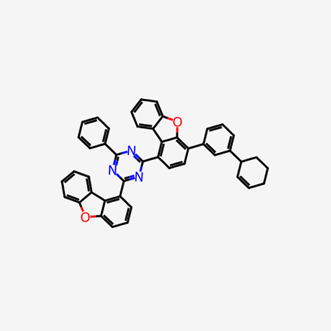 C1=CC(c2cccc(-c3ccc(-c4nc(-c5ccccc5)nc(-c5cccc6oc7ccccc7c56)n4)c4c3oc3ccccc34)c2)CCC1